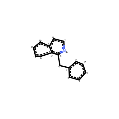 [c]1ccc(Cc2nccc3ccccc23)cc1